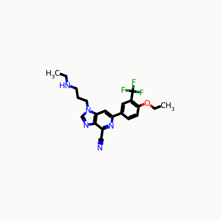 CCNCCCn1cnc2c(C#N)nc(-c3ccc(OCC)c(C(F)(F)F)c3)cc21